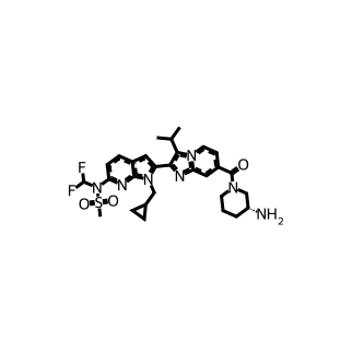 CC(C)c1c(-c2cc3ccc(N(C(F)F)S(C)(=O)=O)nc3n2CC2CC2)nc2cc(C(=O)N3CCC[C@@H](N)C3)ccn12